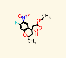 CCOC(=O)C[C@]1(O)C[C@@H](C)Oc2cc(F)c([N+](=O)[O-])cc21